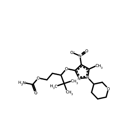 Cc1c([N+](=O)[O-])c(OC(CCOC(N)=O)C(C)(C)C)nn1C1CCCOC1